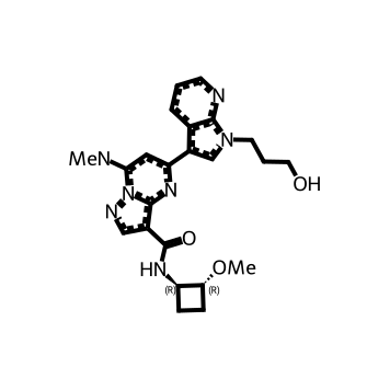 CNc1cc(-c2cn(CCCO)c3ncccc23)nc2c(C(=O)N[C@@H]3CC[C@H]3OC)cnn12